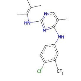 CC(C)=C(C)Nc1ncc(C)c(Nc2ccc(Cl)c(C(F)(F)F)c2)n1